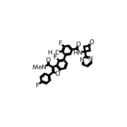 CNC(=O)c1c(-c2ccc(F)cc2)oc2ccc(-c3cc(C(=O)NC4(c5ncccn5)CC(=O)C4)cc(F)c3C)c(F)c12